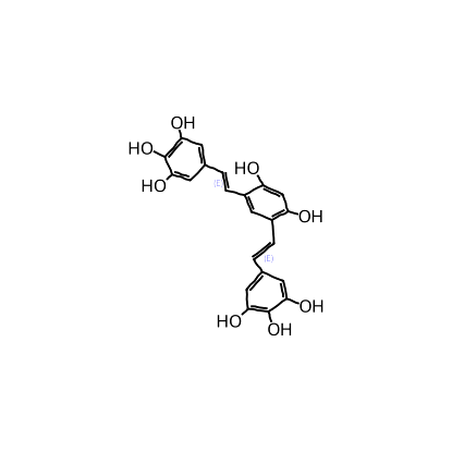 Oc1cc(O)c(/C=C/c2cc(O)c(O)c(O)c2)cc1/C=C/c1cc(O)c(O)c(O)c1